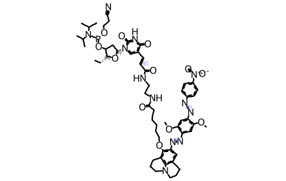 CC[C@H]1O[C@@H](n2cc(/C=C/C(=O)NCCNC(=O)CCCCCOc3c(/N=N/c4cc(OC)c(/N=N/c5ccc([N+](=O)[O-])cc5)cc4OC)cc4c5c3CCCN5CCC4)c(=O)[nH]c2=O)CC1OP(OCCC#N)N(C(C)C)C(C)C